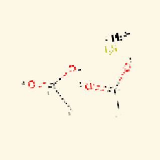 CC(=O)[O-].CC(=O)[O-].S.[Pb+2]